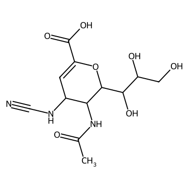 CC(=O)NC1C(NC#N)C=C(C(=O)O)OC1C(O)C(O)CO